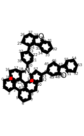 c1ccc(-c2cccc3cccc(-c4ccccc4N(c4ccc(-c5cccc6oc7ccccc7c56)cc4)c4cccc(-c5ccc6c(c5)oc5ccccc56)c4)c23)cc1